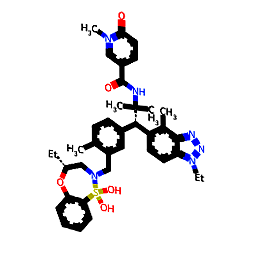 CC[C@@H]1CN(Cc2cc([C@@H](c3ccc4c(nnn4CC)c3C)C(C)(C)NC(=O)c3ccc(=O)n(C)c3)ccc2C)S(O)(O)c2ccccc2O1